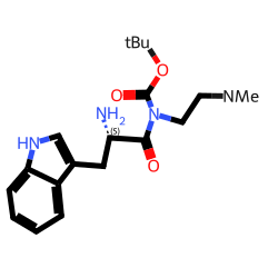 CNCCN(C(=O)OC(C)(C)C)C(=O)[C@@H](N)Cc1c[nH]c2ccccc12